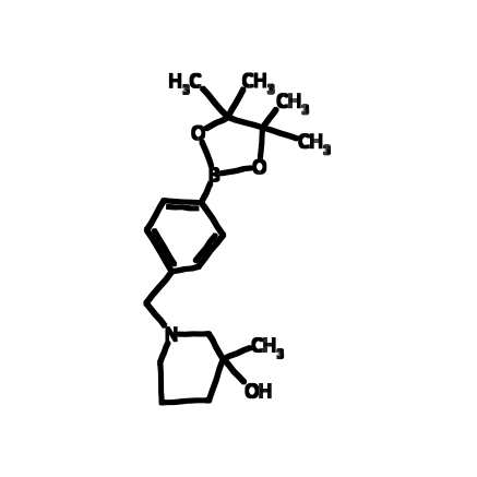 CC1(O)CCCN(Cc2ccc(B3OC(C)(C)C(C)(C)O3)cc2)C1